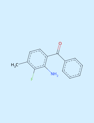 Cc1ccc(C(=O)c2ccccc2)c(N)c1F